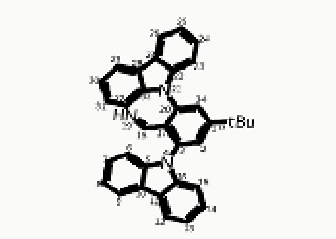 CC(C)(C)c1cc(-n2c3ccccc3c3ccccc32)c(C=N)c(-n2c3ccccc3c3ccccc32)c1